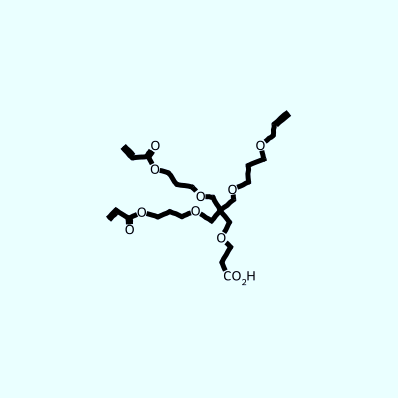 C=CCOCCCOCC(COCCCOC(=O)C=C)(COCCCOC(=O)C=C)COCCC(=O)O